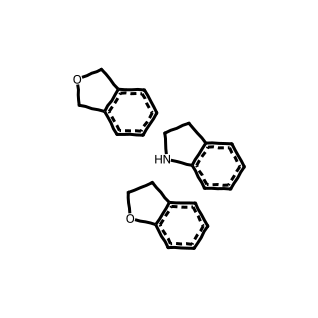 c1ccc2c(c1)CCN2.c1ccc2c(c1)CCO2.c1ccc2c(c1)COC2